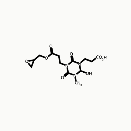 CN1C(=O)N(CCC(=O)OCC2CO2)C(=O)N(CCC(=O)O)C1O